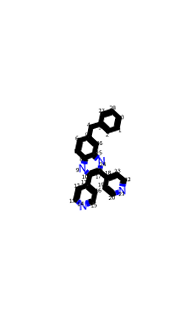 c1ccc(Cc2ccc3nc(-c4ccncc4)c(-c4ccncc4)nc3c2)cc1